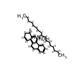 CCCCCCCCCCCCCCCCC.CCCCCCCCCCN.FC1CC=Cc2c1ccc1c2ccc2ccccc21